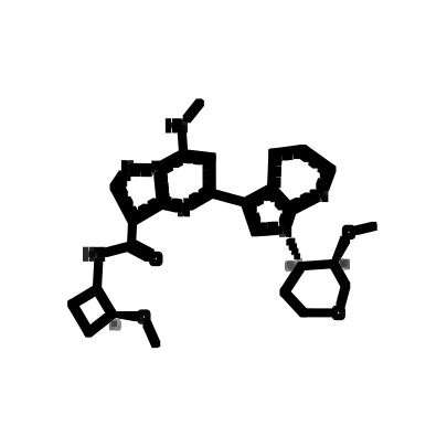 CNc1cc(-c2cn([C@H]3CCOC[C@@H]3OC)c3ncccc23)nc2c(C(=O)NC3CC[C@@H]3OC)cnn12